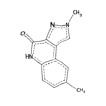 Cc1ccc2[nH]c(=O)c3nn(C)cc3c2c1